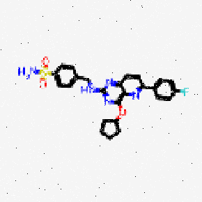 NS(=O)(=O)c1ccc(CNc2nc(OC3CCCC3)c3nc(-c4ccc(F)cc4)ccc3n2)cc1